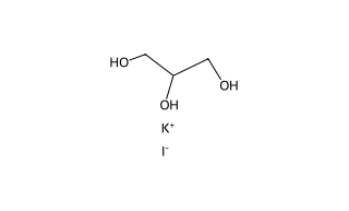 OCC(O)CO.[I-].[K+]